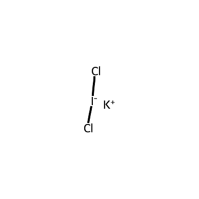 Cl[I-]Cl.[K+]